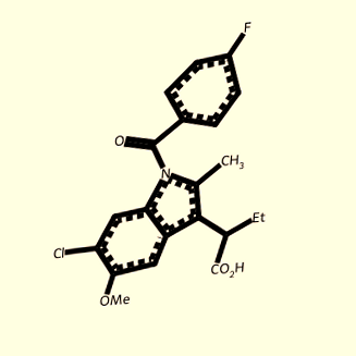 CCC(C(=O)O)c1c(C)n(C(=O)c2ccc(F)cc2)c2cc(Cl)c(OC)cc12